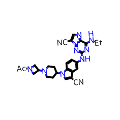 CCNc1nc(Nc2ccc3c(c2)c(C#N)cn3C2CCN(C3CN(C(C)=O)C3)CC2)nn2c(C#N)cnc12